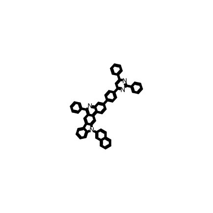 c1ccc(-c2cc(-c3ccc(-c4ccc5c(c4)nc(-c4ccccc4)c4cc6c7ccccc7n(-c7ccc8ccccc8c7)c6cc45)cc3)nc(-c3ccccc3)n2)cc1